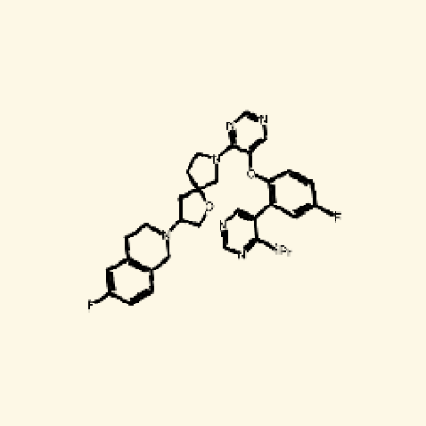 CC(C)c1ncncc1-c1cc(F)ccc1Oc1cncnc1N1CCC2(CC(N3CCc4cc(F)ccc4C3)CO2)C1